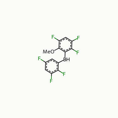 COc1c(F)cc(F)c(F)c1Bc1cc(F)cc(F)c1F